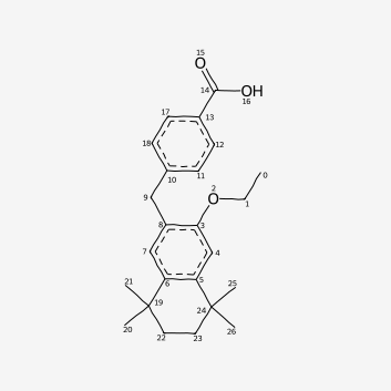 CCOc1cc2c(cc1Cc1ccc(C(=O)O)cc1)C(C)(C)CCC2(C)C